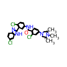 C[C@@H]1CN(c2ccc(C(=O)Nc3ccc(Cl)c(-c4nc5ccc(Cl)cc5[nH]4)c3)c(Cl)c2)C[C@H](C)N1C